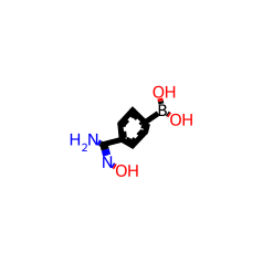 N/C(=N/O)c1ccc(B(O)O)cc1